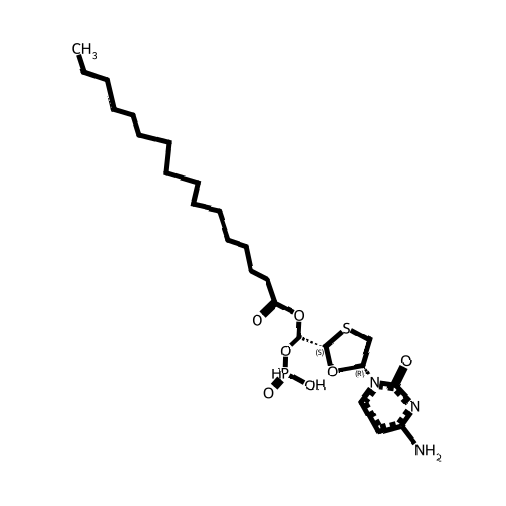 CCCCCCCCCCCCCCCC(=O)OC(O[PH](=O)O)[C@H]1O[C@@H](n2ccc(N)nc2=O)CS1